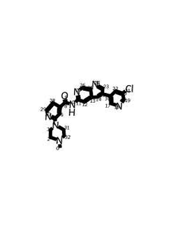 CN1CCN(c2cc(C(=O)Nc3cc4cc(-c5cncc(Cl)c5)cnc4cn3)ccn2)CC1